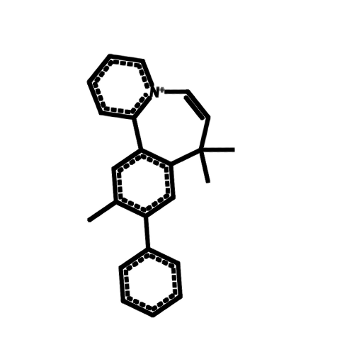 Cc1cc2c(cc1-c1ccccc1)C(C)(C)C=C[n+]1ccccc1-2